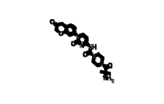 CC(C)(N)C(=O)N1CCN(C(=O)Nc2ccn(-c3ccc4c(c3)OCC(=O)C4)c(=O)n2)CC1